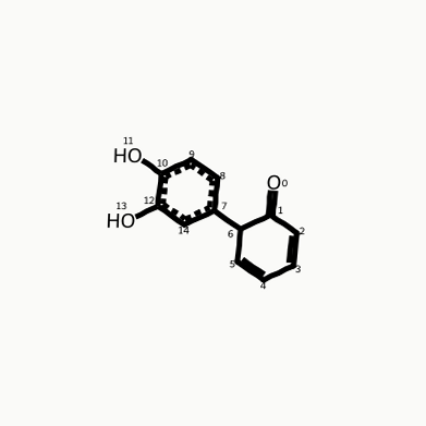 O=C1C=CC=CC1c1ccc(O)c(O)c1